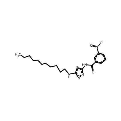 CCCCCCCCCCCNc1nnc(NC(=O)c2cccc([N+](=O)[O-])c2)s1